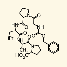 CC(C)C[C@H](NC(=O)[C@@H]1CCCN1C(=O)CNC(=O)OCc1ccccc1)C(=O)N[C@@H](C)C(=O)N1CCC[C@H]1C(=O)O